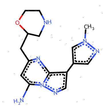 Cn1cc(-c2cnn3c(N)cc(CC4CNCCO4)nc23)cn1